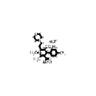 COC(=O)C1=C(C)N(C)C(CCN2CCOCC2)=C(C(=O)O)C1c1ccc(C(F)(F)F)cc1.Cl